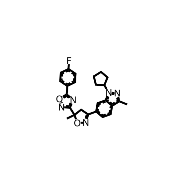 Cc1nn(C2CCCC2)c2cc(C3=NOC(C)(c4noc(-c5ccc(F)cc5)n4)C3)ccc12